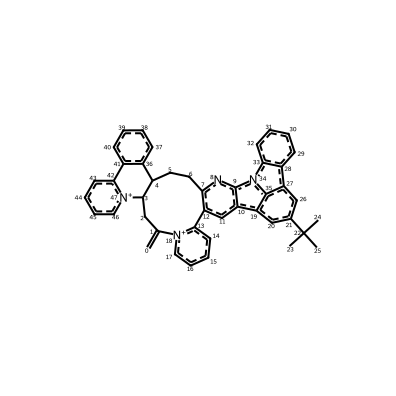 C=C1CC2C(CCc3nc4c(cc3-c3cccc[n+]31)c1cc(C(C)(C)C)cc3c5ccccc5n4c31)c1ccccc1-c1cccc[n+]12